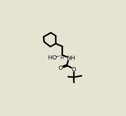 CC(C)(C)OC(=O)N[C@H](O)CC1CCCCC1